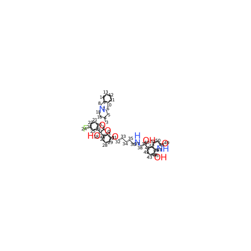 O=C(OCC1CCN(Cc2ccccc2)CC1)C(O)(c1cccc(F)c1)c1cccc(OCCCCCNCC(O)c2ccc(O)c3[nH]c(=O)ccc23)c1